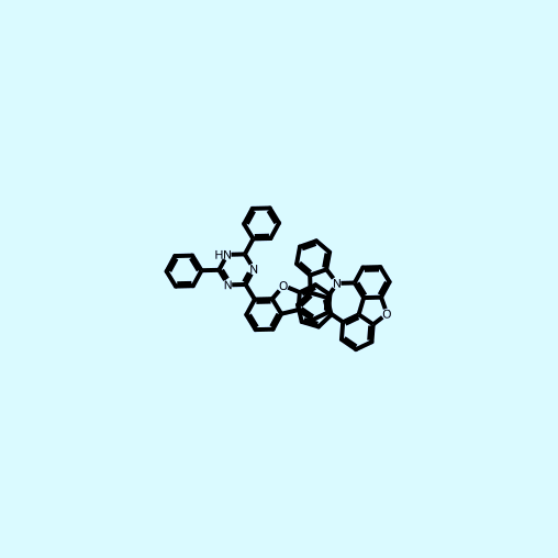 c1ccc(C2=NC(c3cccc4c3oc3ccc(-c5cccc6oc7cccc(-n8c9ccccc9c9ccccc98)c7c56)cc34)=NC(c3ccccc3)N2)cc1